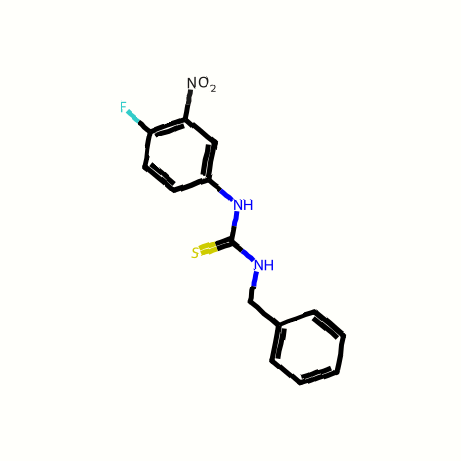 O=[N+]([O-])c1cc(NC(=S)NCc2ccccc2)ccc1F